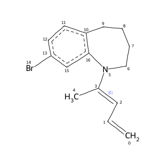 C=C/C=C(\C)N1CCCCc2ccc(Br)cc21